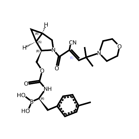 Cc1ccc(C[C@H](NC(=O)OC[C@H]2[C@H]3C[C@H]3CN2C(=O)/C(C#N)=C/C(C)(C)N2CCOCC2)B(O)O)cc1